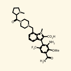 COc1c(C(N)=O)cc(C(F)(F)F)c(-c2c(C(=O)O)n(C)c3c(CN4CCN(C(=O)C5CCCN5C)CC4)cccc23)c1N